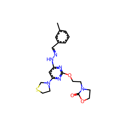 Cc1cccc(/C=N/Nc2cc(N3CCSC3)nc(OCCN3CCOC3=O)n2)c1